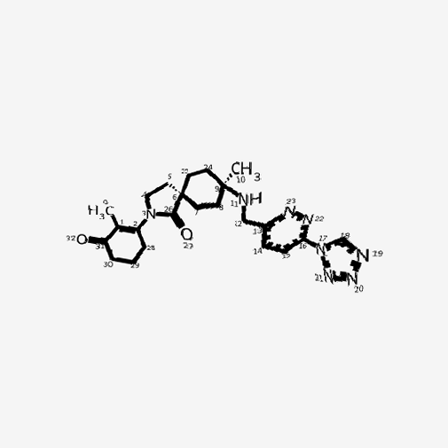 CC1=C(N2CC[C@]3(CC[C@](C)(NCc4ccc(-n5cnnn5)nn4)CC3)C2=O)CCCC1=O